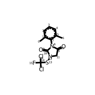 Cc1cccc(C)c1N1C(=O)CN(SC(F)(Cl)Cl)C1=O